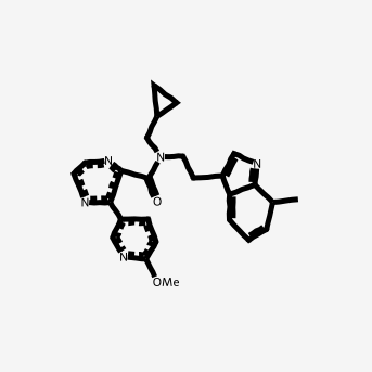 COc1ccc(-c2nccnc2C(=O)N(CCC2=CN=C3C2=CC=CC3C)CC2CC2)cn1